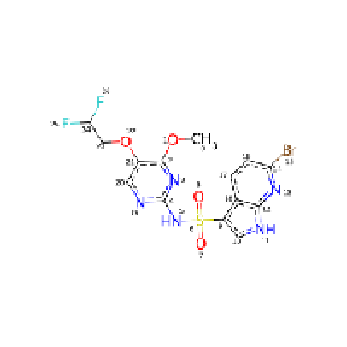 COc1nc(NS(=O)(=O)c2c[nH]c3nc(Br)ccc23)ncc1OCC(F)F